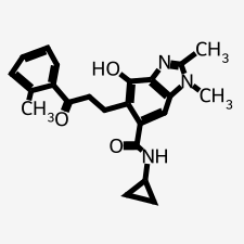 Cc1ccccc1C(=O)CCc1c(C(=O)NC2CC2)cc2c(nc(C)n2C)c1O